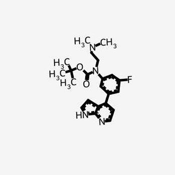 CN(C)CCN(C(=O)OC(C)(C)C)c1cc(F)cc(-c2ccnc3[nH]ccc23)c1